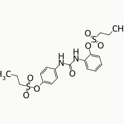 CCCS(=O)(=O)Oc1ccc(NC(=O)Nc2ccccc2OS(=O)(=O)CCC)cc1